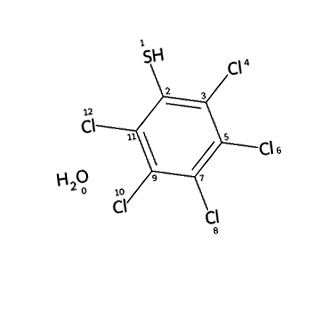 O.Sc1c(Cl)c(Cl)c(Cl)c(Cl)c1Cl